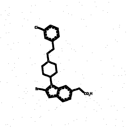 O=C(O)Cc1ccc2cc(Br)n(C3CCN(CCc4cccc(Cl)c4)CC3)c2c1